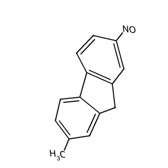 Cc1ccc2c(c1)Cc1cc(N=O)ccc1-2